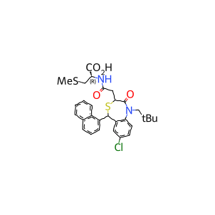 CSC[C@H](NC(=O)CC1SC(c2cccc3ccccc23)c2cc(Cl)ccc2N(CC(C)(C)C)C1=O)C(=O)O